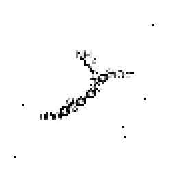 CCCCCCCCOc1ccc(C(=O)Oc2ccc(-c3ccc(OC(=O)c4ccc(OCCC)cc4)cc3)cc2)c(OCCCCCCN)c1